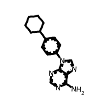 Nc1ncnc2c1ncn2-c1ccc(C2CCCCC2)cc1